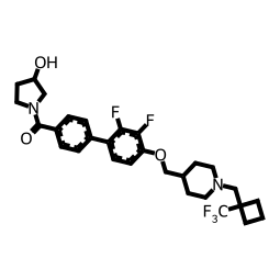 O=C(c1ccc(-c2ccc(OCC3CCN(CC4(C(F)(F)F)CCC4)CC3)c(F)c2F)cc1)N1CCC(O)C1